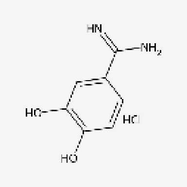 Cl.N=C(N)c1ccc(O)c(O)c1